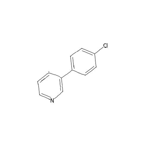 Clc1ccc(-c2[c]ccnc2)cc1